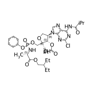 C#C[C@]1(COP(=O)(N[C@@H](C)C(=O)OCC(CC)CC)Oc2ccccc2)OC[C@@H](n2cnc3c(NC(=O)C(C)C)nc(Cl)nc32)[C@@H]1OC(=O)C(C)C